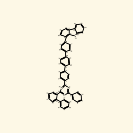 c1ccc(-c2nc(-c3ccc(-c4ccc(-c5ccc(-c6cccc7c6sc6ccccc67)cc5)cc4)cc3)nc(-c3ccccc3-c3ccccc3)n2)cc1